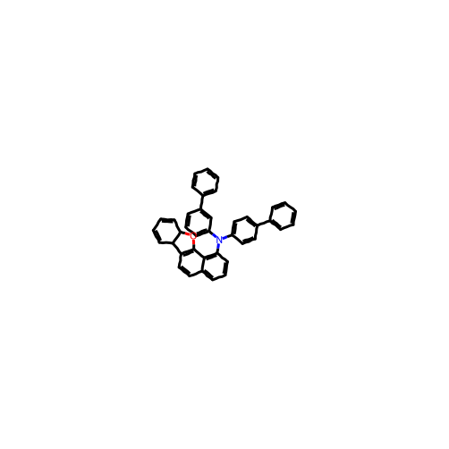 C1=CC2Oc3c(ccc4cccc(N(c5ccc(-c6ccccc6)cc5)c5cccc(-c6ccccc6)c5)c34)C2C=C1